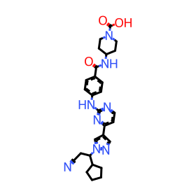 N#CCC(C1CCCC1)n1cc(-c2ccnc(Nc3ccc(C(=O)NC4CCN(C(=O)O)CC4)cc3)n2)cn1